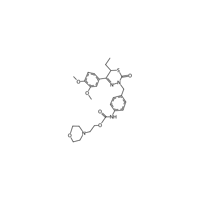 CCC1SC(=O)N(Cc2ccc(NC(=O)OCCN3CCOCC3)cc2)N=C1c1ccc(OC)c(OC)c1